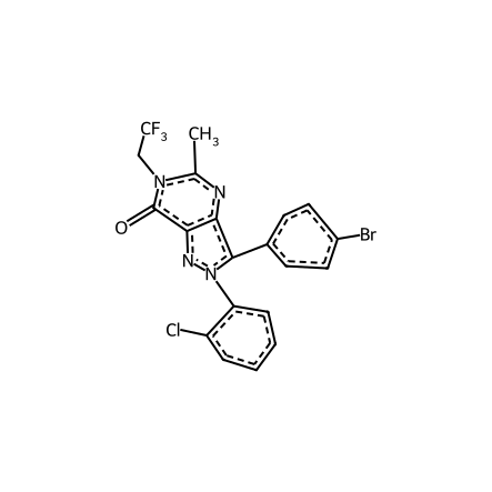 Cc1nc2c(-c3ccc(Br)cc3)n(-c3ccccc3Cl)nc2c(=O)n1CC(F)(F)F